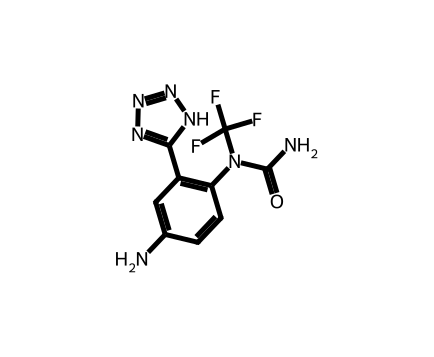 NC(=O)N(c1ccc(N)cc1-c1nnn[nH]1)C(F)(F)F